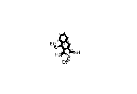 CCOc1c2c(cc3ccccc13)C(=N)N(OCC)C2=N